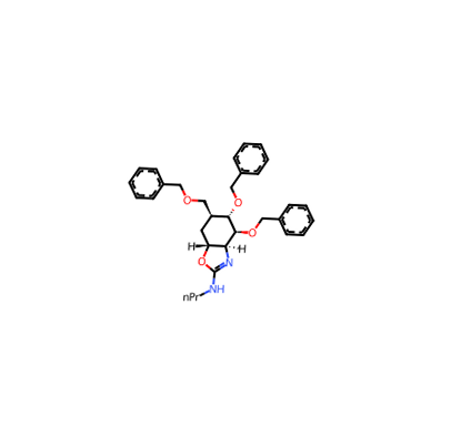 CCCNC1=N[C@@H]2[C@H](OCc3ccccc3)[C@@H](OCc3ccccc3)[C@H](COCc3ccccc3)C[C@H]2O1